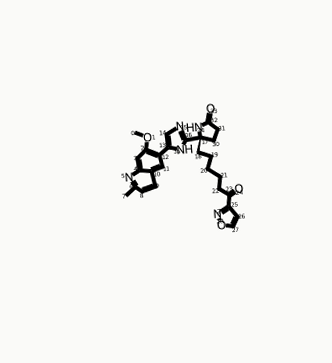 COc1cc2nc(C)ccc2cc1-c1cnc([C@@]2(CCCCCC(=O)c3ccon3)CCC(=O)N2)[nH]1